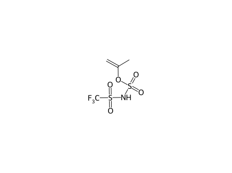 C=C(C)OS(=O)(=O)NS(=O)(=O)C(F)(F)F